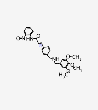 COc1cc(CNCc2ccc(/C=C/C(=O)Nc3ccccc3N=O)cc2)cc(OC)c1OC